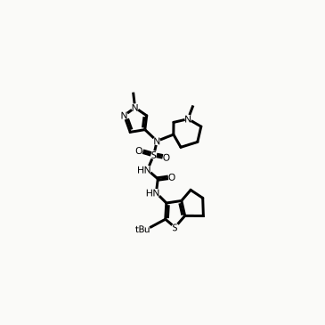 CN1CCCC(N(c2cnn(C)c2)S(=O)(=O)NC(=O)Nc2c(C(C)(C)C)sc3c2CCC3)C1